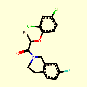 CCC(Oc1ccc(Cl)cc1Cl)C(=O)N1CCc2ccc(F)cc2C1